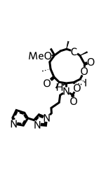 CO[C@@]1(C)C[C@@H](C)C[C@@H](C)C(=O)O[C@H](I)[C@@]2(C)OC(=O)N(CCCCn3cnc(-c4cccnc4)c3)[C@@H]2[C@@H](C)C(=O)[C@H](C)C1